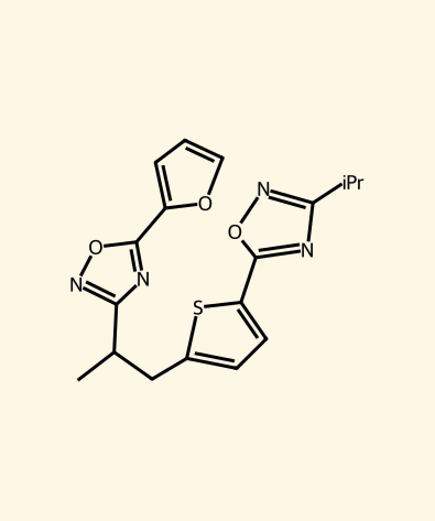 CC(C)c1noc(-c2ccc(CC(C)c3noc(-c4ccco4)n3)s2)n1